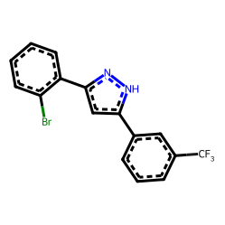 FC(F)(F)c1cccc(-c2cc(-c3ccccc3Br)n[nH]2)c1